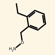 CCc1ccccc1CON